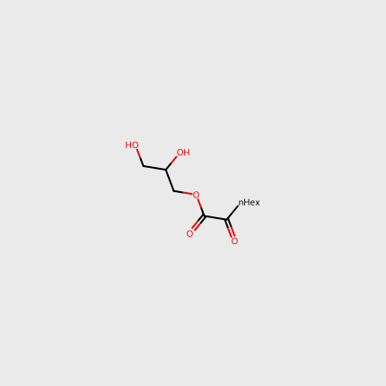 CCCCCCC(=O)C(=O)OCC(O)CO